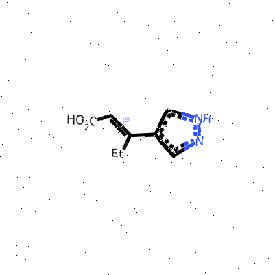 CC/C(=C\C(=O)O)c1cn[nH]c1